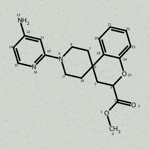 COC(=O)C1CC2(CCN(c3cc(N)ccn3)CC2)c2ccccc2O1